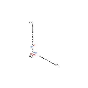 CCC=CCC=CCC=CCC=CCC=CCCCC(=O)NCCCC[C@H](NC(=O)CCCC=CCC=CCC=CCC=CCC=CCC)C(=O)OC